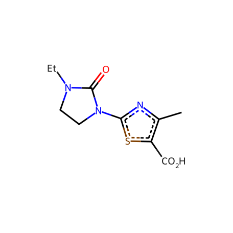 CCN1CCN(c2nc(C)c(C(=O)O)s2)C1=O